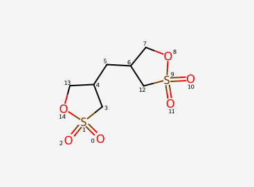 O=S1(=O)CC(CC2COS(=O)(=O)C2)CO1